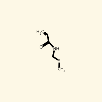 C=CC(=O)NCSC